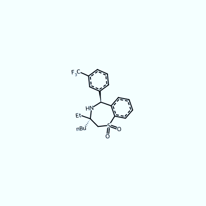 CCCC[C@@]1(CC)CS(=O)(=O)c2ccccc2[C@H](c2cccc(C(F)(F)F)c2)N1